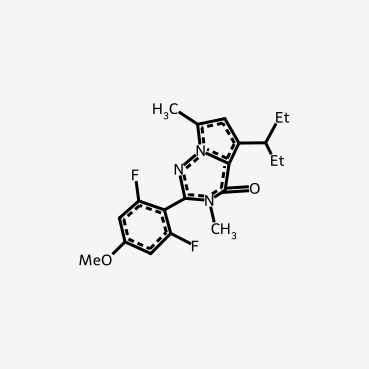 CCC(CC)c1cc(C)n2nc(-c3c(F)cc(OC)cc3F)n(C)c(=O)c12